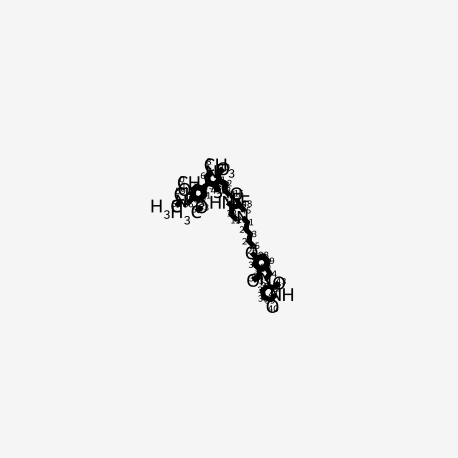 COc1cc(-c2cn(C)c(=O)c3cc(C(=O)NC4CCN(CCCCCOc5ccc6c(c5)C(=O)N(C5CCC(=O)NC5=O)C6)CC4(F)F)sc23)cc(OC)c1CN(C)C